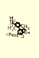 CCCCCn1cc(-c2c(C)ccc(C(N)=O)c2C)c2cc[nH]c2c1=O